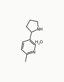 Cc1ccc(C2CCCN2)cn1.O